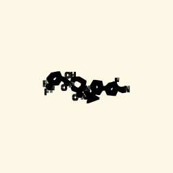 N#Cc1ccc(-c2cccc(C3(c4nc5c(c(=O)[nH]4)CN(C(=O)[C@H](O)c4cccc(C(F)(F)F)c4)CCC5)CC3)c2)cc1F